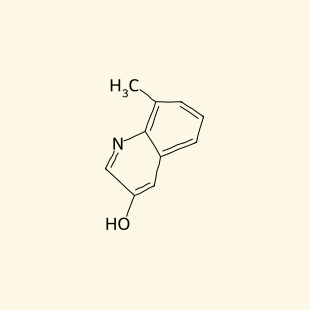 Cc1cccc2cc(O)cnc12